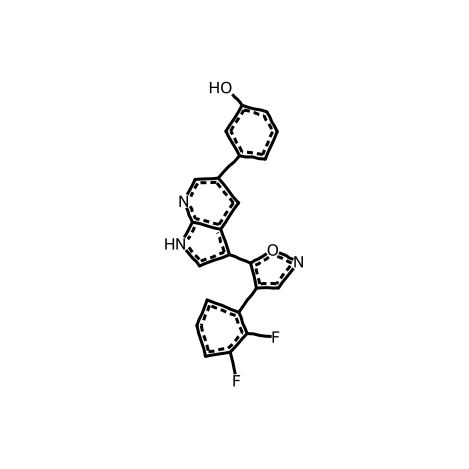 Oc1cccc(-c2cnc3[nH]cc(-c4oncc4-c4cccc(F)c4F)c3c2)c1